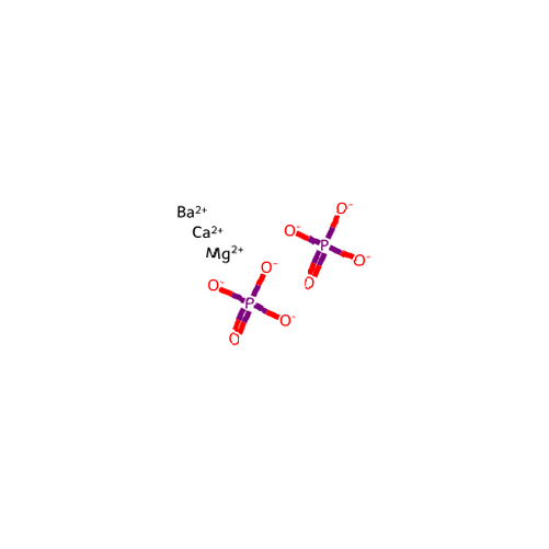 O=P([O-])([O-])[O-].O=P([O-])([O-])[O-].[Ba+2].[Ca+2].[Mg+2]